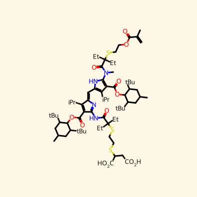 C=C(C)C(=O)OCCSC(CC)(CC)C(=O)N(C)c1[nH]c(/C=C2\N=C(NC(=O)C(CC)(CC)SCCSC(CC(=O)O)C(=O)O)C(C(=O)OC3C(C(C)(C)C)CC(C)CC3C(C)(C)C)=C2C(C)C)c(C(C)C)c1C(=O)OC1C(C(C)(C)C)CC(C)CC1C(C)(C)C